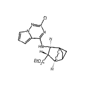 CCOC(=O)[C@@H]1[C@@H](Nc2nc(Cl)nn3cccc23)C23CC[C@H]1C(C2)C3